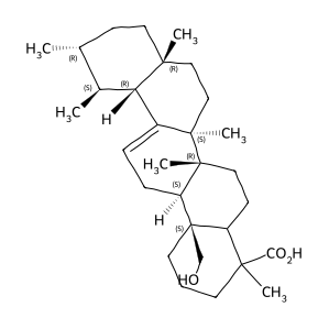 C[C@H]1[C@H](C)CC[C@]2(C)CC[C@]3(C)C(=CC[C@@H]4[C@@]5(CO)CCCC(C)(C(=O)O)C5CC[C@]43C)[C@H]12